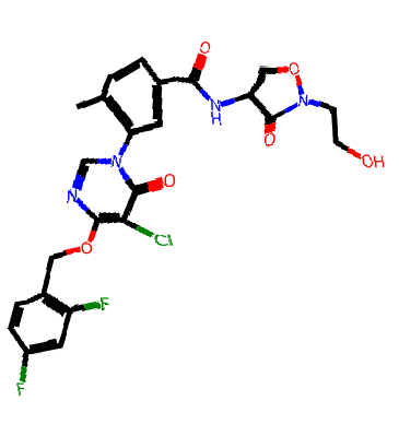 Cc1ccc(C(=O)NC2CON(CCO)C2=O)cc1-n1cnc(OCc2ccc(F)cc2F)c(Cl)c1=O